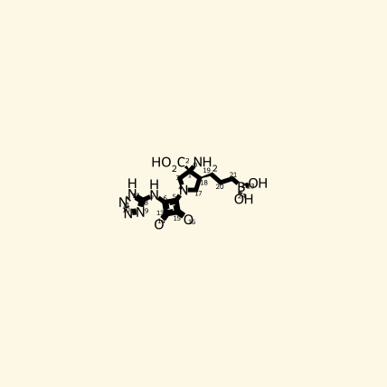 N[C@@]1(C(=O)O)CN(c2c(Nc3nnn[nH]3)c(=O)c2=O)C[C@@H]1CCCB(O)O